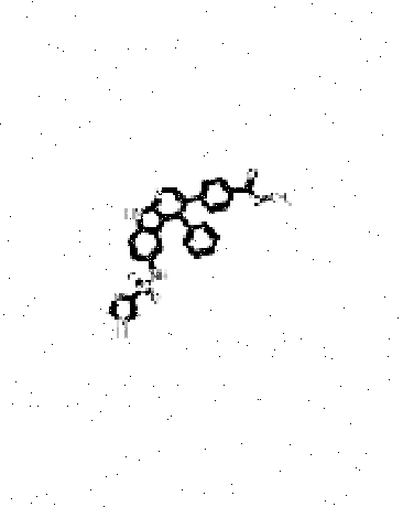 COC(=O)c1ccc(-c2cnc3[nH]c4ccc(NS(=O)(=O)c5c[nH]cn5)cc4c3c2-c2ccccc2)cc1